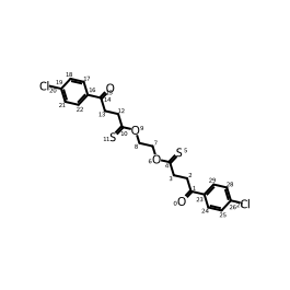 O=C(CCC(=S)OCCOC(=S)CCC(=O)c1ccc(Cl)cc1)c1ccc(Cl)cc1